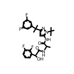 CC(NC(=O)C(O)c1cccc(F)c1F)C(=O)Nc1cc(C(C)(C)c2cc(F)cc(F)c2)nn1C(C)(C)C